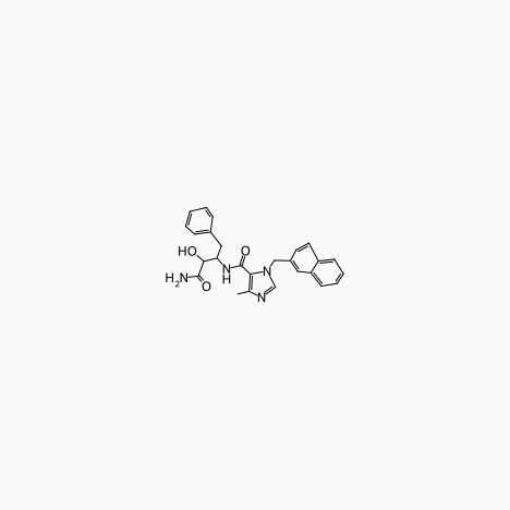 Cc1ncn(Cc2ccc3ccccc3c2)c1C(=O)NC(Cc1ccccc1)C(O)C(N)=O